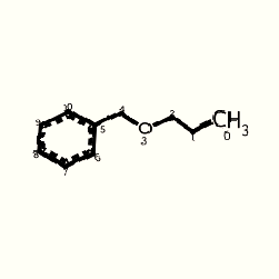 CC[CH]OCc1ccccc1